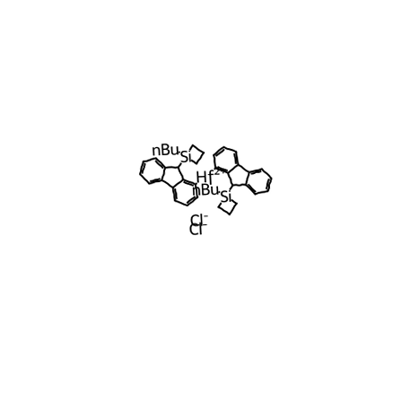 CCCC[Si]1(C2c3ccccc3-c3ccc[c]([Hf+2][c]4cccc5c4C([Si]4(CCCC)CCC4)c4ccccc4-5)c32)CCC1.[Cl-].[Cl-]